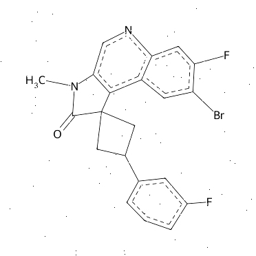 CN1C(=O)C2(CC(c3cccc(F)c3)C2)c2c1cnc1cc(F)c(Br)cc21